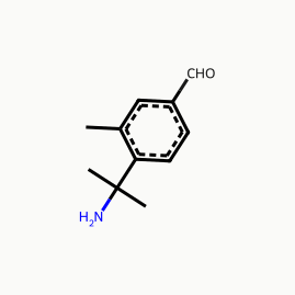 Cc1cc(C=O)ccc1C(C)(C)N